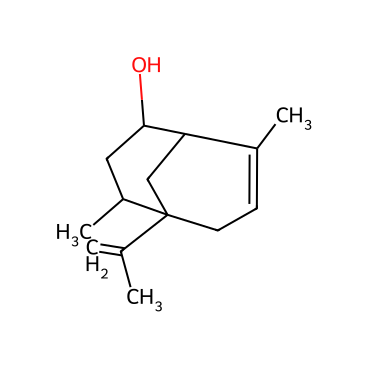 C=C(C)C12CC=C(C)C(C1)C(O)CC2C